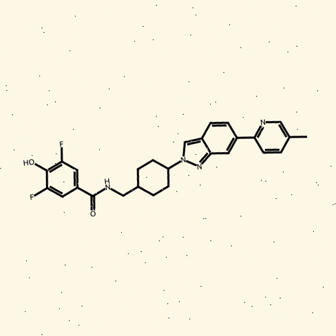 Cc1ccc(-c2ccc3cn(C4CCC(CNC(=O)c5cc(F)c(O)c(F)c5)CC4)nc3c2)nc1